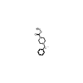 C[C@H](c1ccccc1)N1CCN(C(=O)OC(C)(C)C)CC1